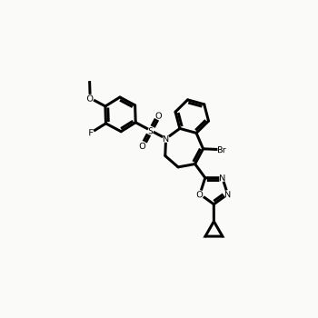 COc1ccc(S(=O)(=O)N2CCC(c3nnc(C4CC4)o3)=C(Br)c3ccccc32)cc1F